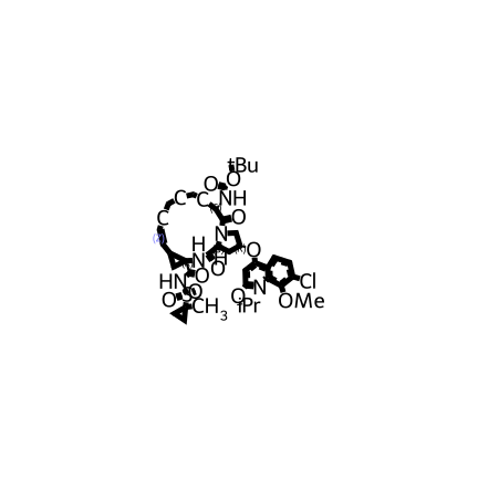 COc1c(Cl)ccc2c(O[C@@H]3C[C@H]4C(=O)N[C@]5(C(=O)NS(=O)(=O)C6(C)CC6)CC5/C=C\CCCCC[C@H](NC(=O)OC(C)(C)C)C(=O)N4C3)cc(OC(C)C)nc12